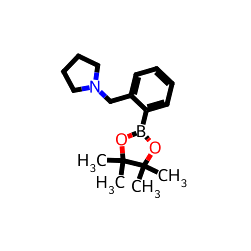 CC1(C)OB(c2ccccc2CN2CCCC2)OC1(C)C